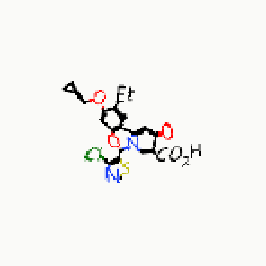 CCc1cc2c(cc1OCC1CC1)O[C@H](c1scnc1Cl)n1cc(C(=O)O)c(=O)cc1-2